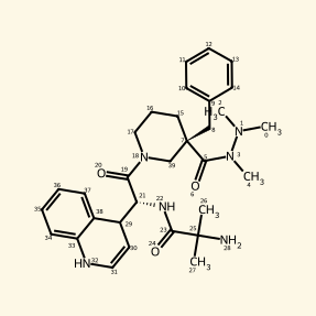 CN(C)N(C)C(=O)[C@@]1(Cc2ccccc2)CCCN(C(=O)[C@H](NC(=O)C(C)(C)N)C2C=CNc3ccccc32)C1